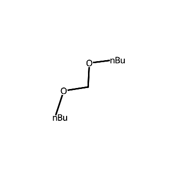 CCCCOCOCCCC